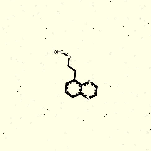 O=COCCc1cccc2nccnc12